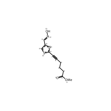 COC(=O)CCCC#Cc1nc(C=NO)cs1